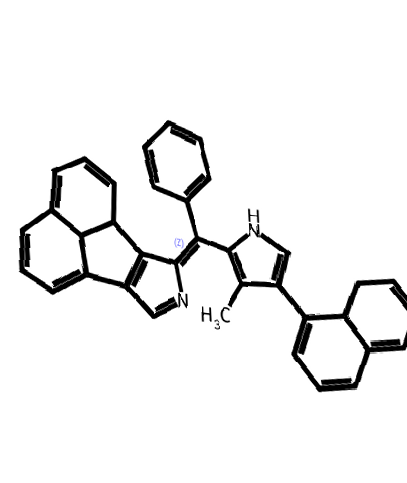 Cc1c(C2=CC=CC3=CC=CCC32)c[nH]c1/C(=C1\N=CC2=C1C1C=CC=C3C=CC=C2C31)c1ccccc1